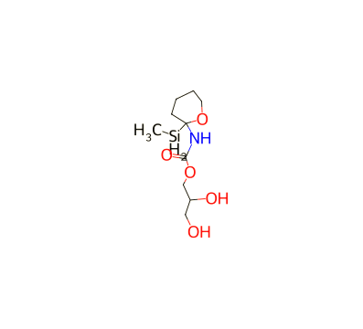 C[SiH2]C1(NC(=O)OCC(O)CO)CCCCO1